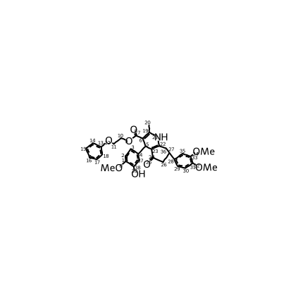 COc1ccc(C2C(C(=O)OCCOc3ccccc3)=C(C)NC3=C2C(=O)CC(c2ccc(OC)c(OC)c2)C3)cc1O